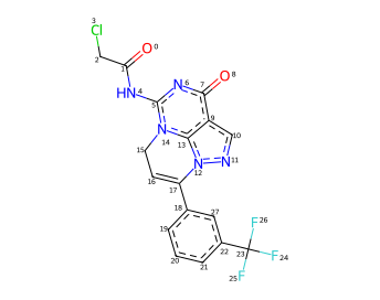 O=C(CCl)Nc1nc(=O)c2cnn3c2n1CC=C3c1cccc(C(F)(F)F)c1